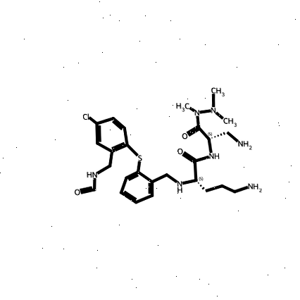 CN(C)N(C)C(=O)[C@H](CN)NC(=O)[C@H](CCCN)NCc1ccccc1Sc1ccc(Cl)cc1CNC=O